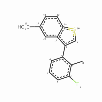 Cc1c(F)cccc1-c1csc2ccc(C(=O)O)cc12